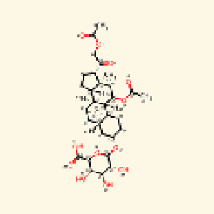 CC(=O)OCC(=O)[C@H]1CC[C@H]2[C@@H]3CC[C@H]4C[C@@H](OC5O[C@H](C(=O)O)[C@@H](O)[C@H](O)[C@H]5O)CC[C@]4(C)[C@H]3[C@H](OC(C)=O)C[C@]12C